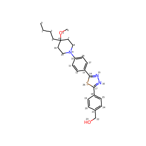 CCCCC1(OC)CCN(c2ccc(-c3nnc(-c4ccc(CO)cc4)s3)cc2)CC1